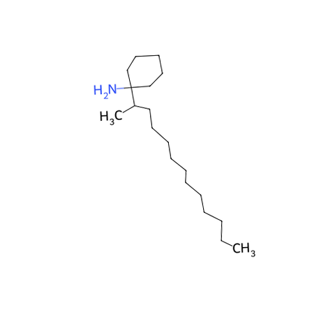 CCCCCCCCCCCC(C)C1(N)CCCCC1